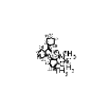 CC(C)N(C)C(=O)c1cc(F)ccc1-n1cc(C2CCCCC2)c2ccncc21